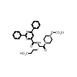 CCOC(=O)ON1CCN(C(=O)[C@H](CCCC(=O)O)NC(=O)c2cc(-c3ccccc3)nc(-c3ccccc3)n2)CC1